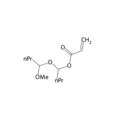 C=CC(=O)OC(CCC)OC(CCC)OC